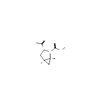 CC(C)(C)OC(=O)N1[C@@H]2C[C@@H]2C[C@H]1C(=O)Cl